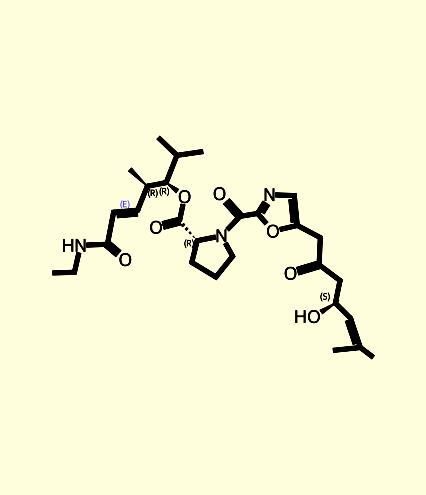 CCNC(=O)/C=C/[C@@H](C)[C@H](OC(=O)[C@H]1CCCN1C(=O)c1ncc(CC(=O)C[C@H](O)C=C(C)C)o1)C(C)C